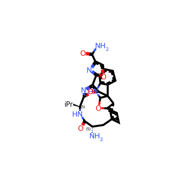 CC(C)[C@@H]1NC(=O)[C@@H](N)Cc2ccc3c(c2)C2(c4ccccc4NC2O3)c2oc1nc2-c1nc(C(N)=O)co1